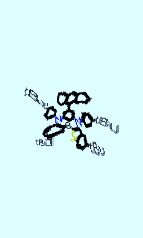 CC(C)(C)c1ccc(N2c3ccc(C(C)(C)C)cc3B3c4sc5ccc(C(C)(C)C)cc5c4N(c4ccc(C(C)(C)C)cc4)c4cc(-c5c6c(cc7c5CCCC7)CCCC6)cc2c43)cc1